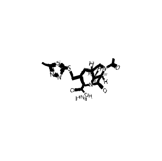 CC(=O)N1C[C@H]2CC(CSc3nnc(C)s3)=C(C(=O)O)N3C(=O)[C@@H]1[C@@H]23.[NaH]